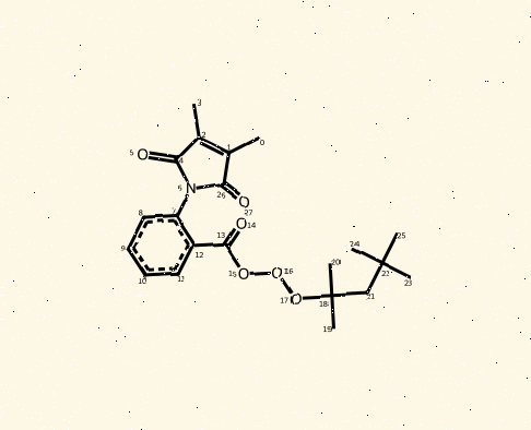 CC1=C(C)C(=O)N(c2ccccc2C(=O)OOOC(C)(C)CC(C)(C)C)C1=O